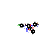 CN(C(=O)C(Cc1ccccc1)C1(C(N)=O)C=CC=C(C(=O)Nc2ccc(Br)cc2)C1)c1ccc2scnc2c1